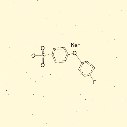 O=S(=O)([O-])c1ccc(Oc2ccc(F)cc2)cc1.[Na+]